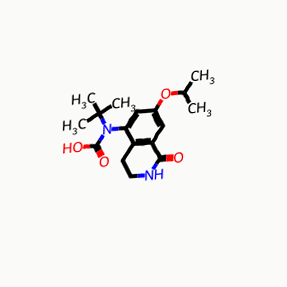 CC(C)Oc1cc2c(c(N(C(=O)O)C(C)(C)C)c1)CCNC2=O